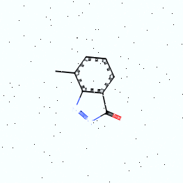 Cc1cccc2c1N=NC2=O